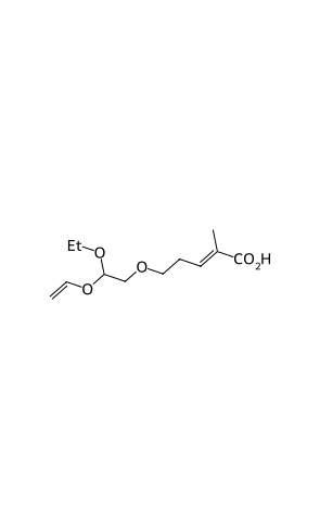 C=COC(COCCC=C(C)C(=O)O)OCC